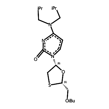 CC(C)COC[C@H]1O[C@@H](n2ccc(N(CC(C)C)CC(C)C)nc2=O)CS1